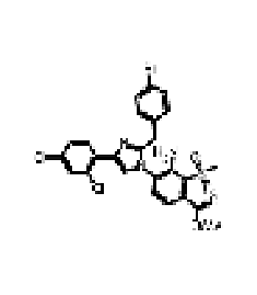 COC(=O)c1ccc(-n2cc(-c3ccc(Cl)cc3Cl)nc2Cc2ccc(Br)cc2)c(N)c1S(C)(=O)=O